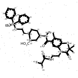 Cc1cc2c(cc1C(=O)N(C(C)C)[C@@H]1CC[C@H](CCO[Si](c3ccccc3)(c3ccccc3)C(C)(C)C)N(C(=O)O)C1)N(CCNC(=O)C(F)F)C(=O)C(C)(C)O2